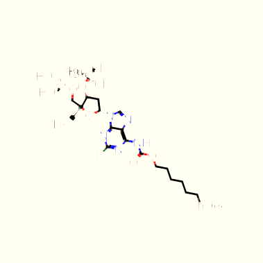 C#C[C@]1(CO[Si](C)(C)C(C)(C)C)O[C@@H](n2cnc3c(NC(=O)OCCCCCCCCCCCCCCCC)nc(F)nc32)C[C@@H]1O[Si](C)(C)C(C)(C)C